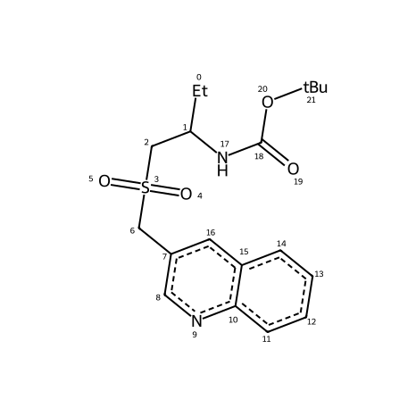 CCC(CS(=O)(=O)Cc1cnc2ccccc2c1)NC(=O)OC(C)(C)C